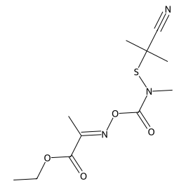 CCOC(=O)/C(C)=N/OC(=O)N(C)SC(C)(C)C#N